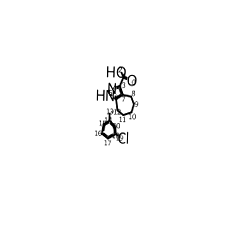 O=C(O)c1n[nH]c2c1CCCC[C@@H]2Cc1cccc(Cl)c1